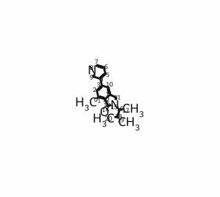 Cc1cc(-c2cccnc2)cc2c1C(=O)N(C(C)C(C)C)C2